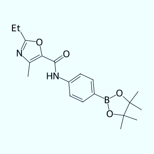 CCc1nc(C)c(C(=O)Nc2ccc(B3OC(C)(C)C(C)(C)O3)cc2)o1